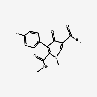 CNC(=O)c1c(-c2ccc(F)cc2)c(=O)c(C(N)=O)cn1C